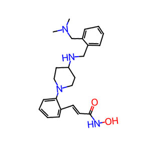 CN(C)Cc1ccccc1CNC1CCN(c2ccccc2C=CC(=O)NO)CC1